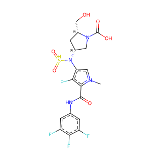 Cn1cc(N([C@@H]2C[C@H](CO)N(C(=O)O)C2)[SH](=O)=O)c(F)c1C(=O)Nc1cc(F)c(F)c(F)c1